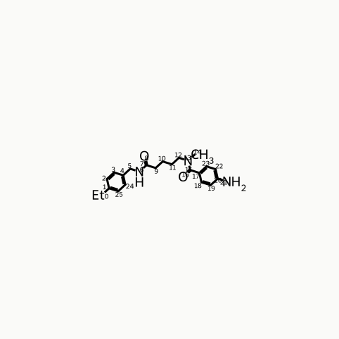 CCc1ccc(CNC(=O)CCCCN(C)C(=O)c2ccc(N)cc2)cc1